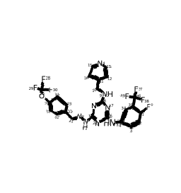 Fc1ccc(Nc2nc(NCc3ccncc3)nc(N/N=C/c3ccc(OC(F)(F)F)cc3)n2)cc1C(F)(F)F